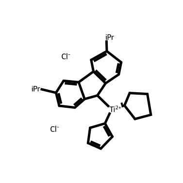 CC(C)c1ccc2c(c1)-c1cc(C(C)C)ccc1[CH]2[Ti+2]([C]1=CC=CC1)=[C]1CCCC1.[Cl-].[Cl-]